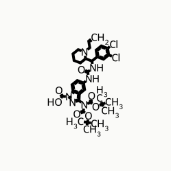 C=CCN1CCCCC1C(NC(=O)Nc1ccc2c(c1)c(N(C(=O)OC(C)(C)C)C(=O)OC(C)(C)C)nn2C(=O)O)c1ccc(Cl)c(Cl)c1